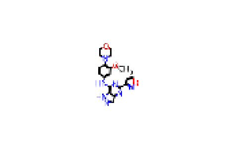 COc1cc(Nc2nc(-c3ccon3)nc3cn[nH]c23)ccc1N1CCOCC1